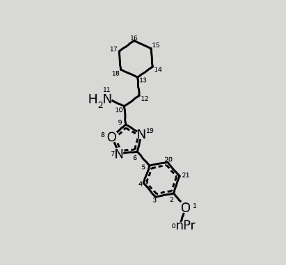 CCCOc1ccc(-c2noc(C(N)CC3CCCCC3)n2)cc1